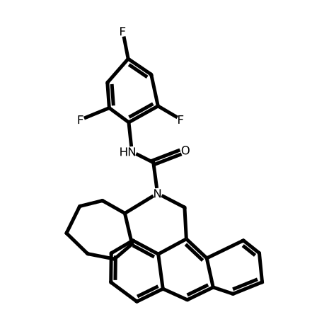 O=C(Nc1c(F)cc(F)cc1F)N(Cc1c2ccccc2cc2ccccc12)C1CCCCCC1